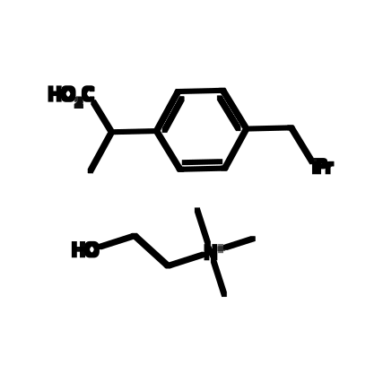 CC(C)Cc1ccc(C(C)C(=O)O)cc1.C[N+](C)(C)CCO